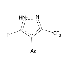 CC(=O)c1c(C(F)(F)F)n[nH]c1F